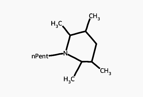 CCCCCN1C(C)C(C)CC(C)C1C